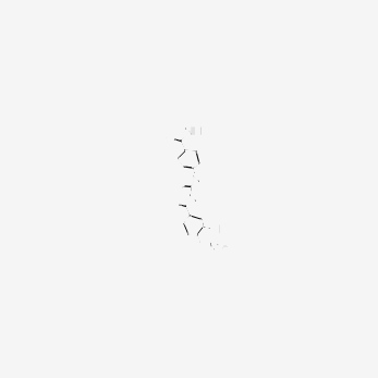 COc1ccc(C(=O)NC(=S)Nc2ccc(C(N)=O)cc2)cc1C(F)(F)F.Cl